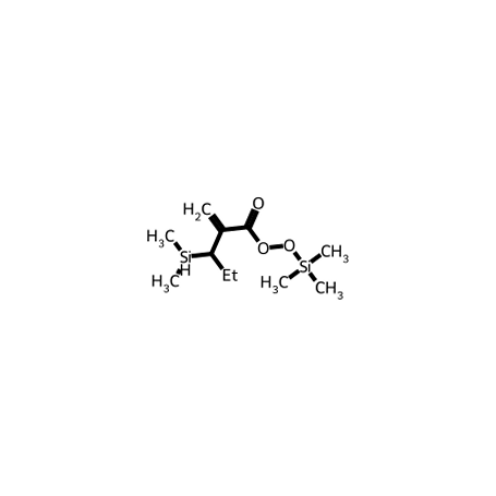 C=C(C(=O)OO[Si](C)(C)C)C(CC)[SiH](C)C